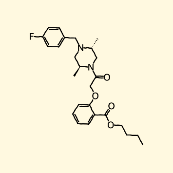 CCCCOC(=O)c1ccccc1OCC(=O)N1C[C@@H](C)N(Cc2ccc(F)cc2)C[C@@H]1C